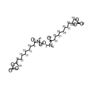 CN(COON(C)C(=O)CCCCCCCCC1COC(=O)O1)C(=O)CCCCCCCCC1COC(=O)O1